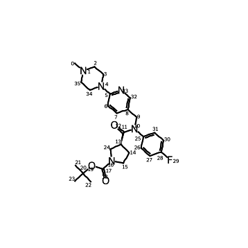 CN1CCN(c2ccc(CN(C(=O)[C@H]3CCN(C(=O)OC(C)(C)C)C3)c3ccc(F)cc3)cn2)CC1